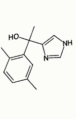 Cc1ccc(C)c(C(C)(O)c2c[nH]cn2)c1